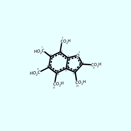 O=C(O)c1oc2c(C(=O)O)c(C(=O)O)c(C(=O)O)c(C(=O)O)c2c1C(=O)O